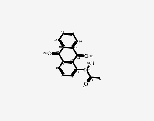 CC(=O)N(Cl)c1cccc2c1C(=O)c1ccccc1C2=O